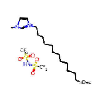 CCCCCCCCCCCCCCCCCCCCCC[n+]1ccn(C)c1.O=S(=O)(NS(=O)(=O)C(F)(F)F)C(F)(F)F